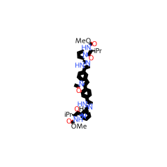 COC(=O)N[C@H](C(=O)N1CCC[C@H]1c1ncc(-c2ccc3c(c2)cc2n3C(C)Oc3cc(-c4cnc([C@@H]5C6CCC(CC6)N5C(=O)[C@@H](NC(=O)OC)C(C)C)[nH]4)ccc3-2)[nH]1)C(C)C